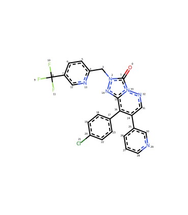 O=c1n(Cc2ccc(C(F)(F)F)cn2)nc2c(-c3ccc(Cl)cc3)c(-c3cccnc3)cnn12